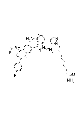 C[C@H](Oc1cc(-c2nn(C)c3c(-c4cnn(CCCCCCCCC(N)=O)c4)cnc(N)c23)ccc1NSC(F)F)c1ccc(F)cc1